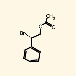 CC(=O)OC[C@@H](Br)c1ccccc1